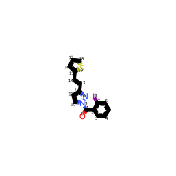 O=C(c1ccccc1I)n1ccc(/C=C/c2cccs2)n1